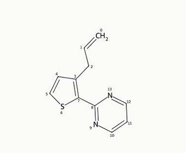 C=CCc1ccsc1-c1ncccn1